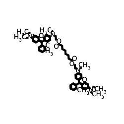 CCN(CCOC(=O)CCCCCCC(=O)OCCN(CC)c1ccc2c(-c3ccccc3C)c3ccc(=[N+](CC)CC)cc-3oc2c1)c1ccc2c(-c3ccccc3C)c3ccc(=[N+](CC)CC)cc-3oc2c1